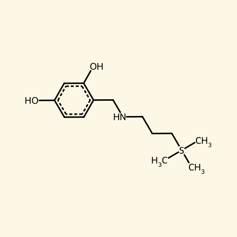 CS(C)(C)CCCNCc1ccc(O)cc1O